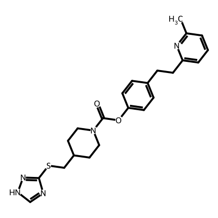 Cc1cccc(CCc2ccc(OC(=O)N3CCC(CSc4nc[nH]n4)CC3)cc2)n1